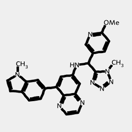 COc1ccc(C(Nc2cc(-c3ccc4ccn(C)c4c3)c3nccnc3c2)c2nnnn2C)cn1